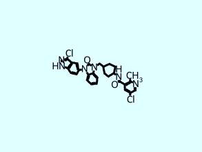 Cc1ncc(Cl)cc1C(=O)NC1CCC(Cn2c(=O)n(-c3ccc4[nH]nc(Cl)c4c3)c3ccccc32)CC1